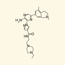 CCN1CCN(CCNC(=O)c2cnn(-c3nc(-c4cc(C)c5c(c4)CN(C)CC5)cnc3N)c2)CC1